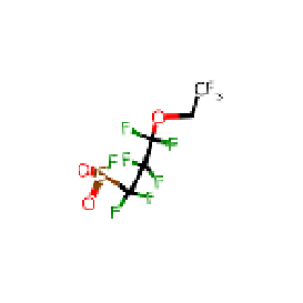 O=S(=O)(F)C(F)(F)C(F)(F)C(F)(F)OCC(F)(F)F